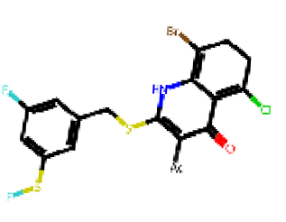 CC(=O)c1c(SCc2cc(F)cc(SF)c2)[nH]c2c(c1=O)=C(Cl)CCC=2Br